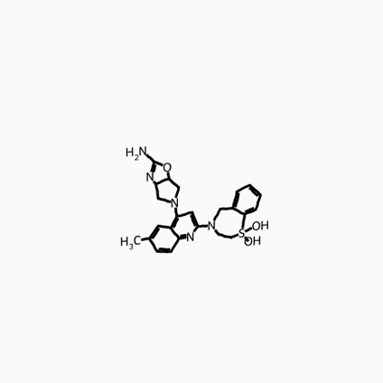 Cc1ccc2nc(N3CCS(O)(O)c4ccccc4C3)cc(N3CC4N=C(N)OC4C3)c2c1